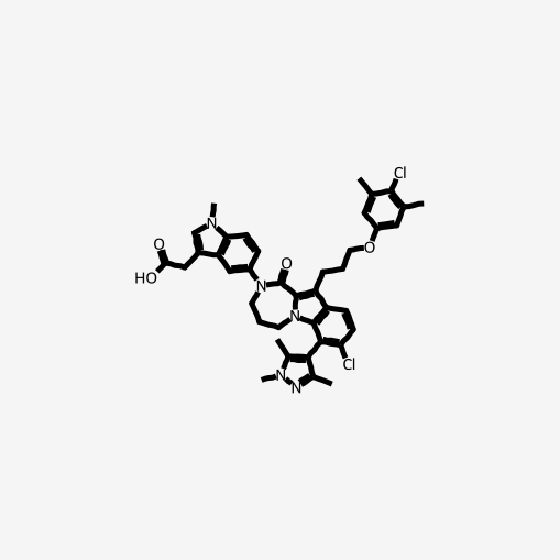 Cc1cc(OCCCc2c3n(c4c(-c5c(C)nn(C)c5C)c(Cl)ccc24)CCCN(c2ccc4c(c2)c(CC(=O)O)cn4C)C3=O)cc(C)c1Cl